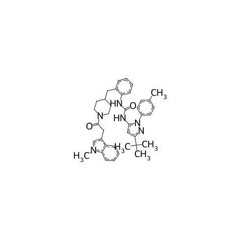 Cc1ccc(-n2nc(C(C)(C)C)cc2NC(=O)Nc2ccccc2CC2CCN(C(=O)Cc3cn(C)c4ccccc34)CC2)cc1